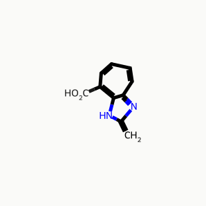 C=c1nc2c([nH]1)=C(C(=O)O)C=CC=C2